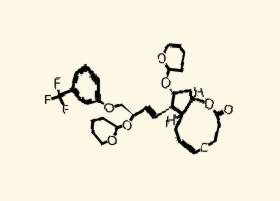 O=C1CCC/C=C\C[C@@H]2[C@@H](/C=C/[C@H](COc3cccc(C(F)(F)F)c3)OC3CCCCO3)[C@H](OC3CCCCO3)C[C@@H]2O1